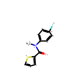 CN(C(=O)c1cccs1)c1ccc(F)cc1